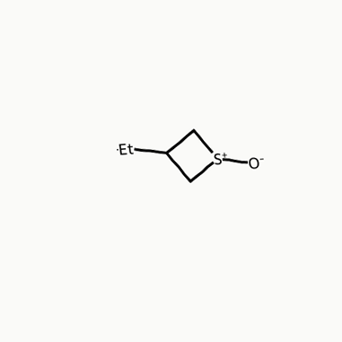 C[CH]C1C[S+]([O-])C1